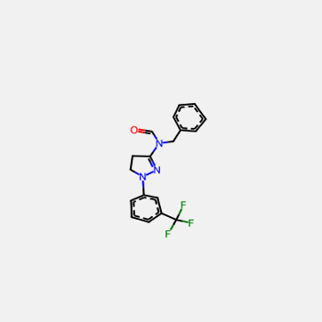 O=CN(Cc1ccccc1)C1=NN(c2cccc(C(F)(F)F)c2)CC1